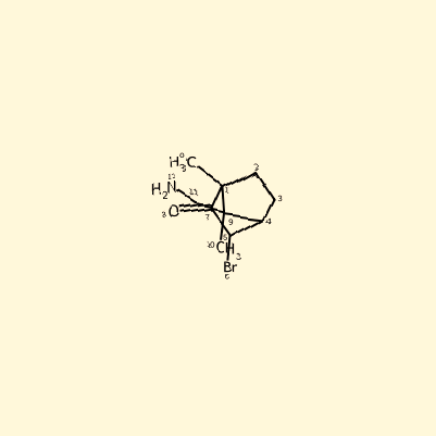 CC12CCC(C(Br)C1=O)C2(C)CN